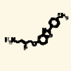 Cc1ccc(-c2nc3cc(OCC(F)=CCN)ccc3s2)cc1